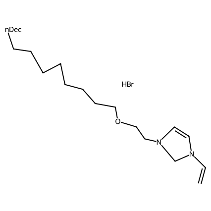 Br.C=CN1C=CN(CCOCCCCCCCCCCCCCCCCCC)C1